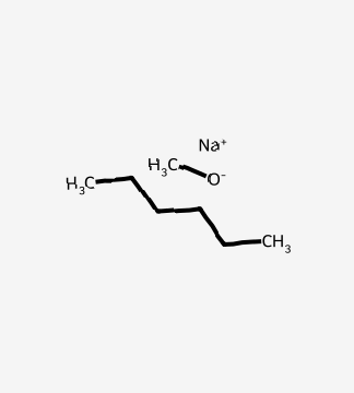 CCCCCC.C[O-].[Na+]